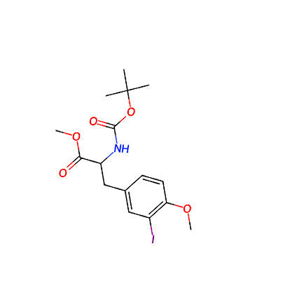 COC(=O)C(Cc1ccc(OC)c(I)c1)NC(=O)OC(C)(C)C